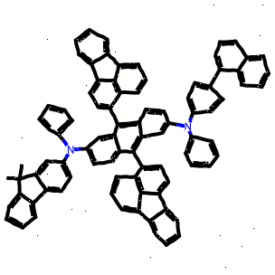 CC1(C)c2ccccc2-c2ccc(N(c3ccccc3)c3ccc4c(-c5ccc6c7c(cccc57)-c5ccccc5-6)c5cc(N(c6ccccc6)c6ccc(-c7cccc8ccccc78)cc6)ccc5c(-c5ccc6c7c(cccc57)-c5ccccc5-6)c4c3)cc21